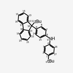 CC(C)(C)c1ccc(Nc2ccc(C3(C(C)(C)C)c4ccccc4-c4ccccc43)cc2)cc1